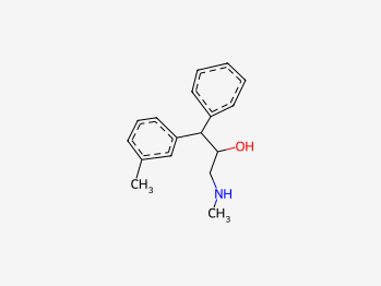 CNCC(O)C(c1ccccc1)c1cccc(C)c1